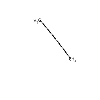 CCCCCCCCCCCCCCCCCCCCCCC[CH]CCCCCCCCCCCCCCCCCCCCCCCCCCC